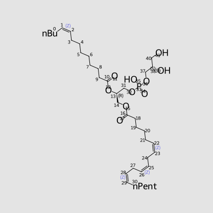 CCCC/C=C\CCCCCCCC(=O)O[C@H](COC(=O)CCCC/C=C\C/C=C\C/C=C\CCCCC)COP(=O)(O)OC[C@@H](O)CO